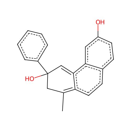 CC1=c2ccc3ccc(O)cc3c2=CC(O)(c2ccccc2)C1